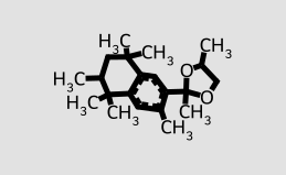 Cc1cc2c(cc1C1(C)OCC(C)O1)C(C)(C)CC(C)C2(C)C